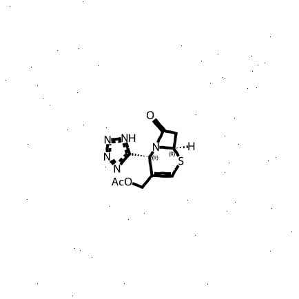 CC(=O)OCC1=CS[C@@H]2CC(=O)N2[C@H]1c1nnn[nH]1